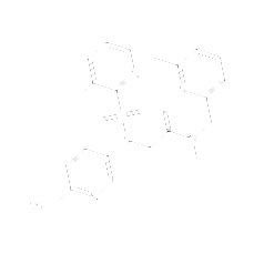 CCN(Cc1cccc(C)n1)C(=O)CN(c1ccc(OC)nc1)S(=O)(=O)c1ncccc1C